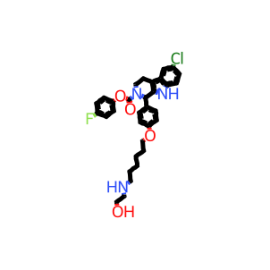 O=C(Oc1ccc(F)cc1)N1CCc2c([nH]c3ccc(Cl)cc23)C1c1ccc(OCCCCCCNCCO)cc1